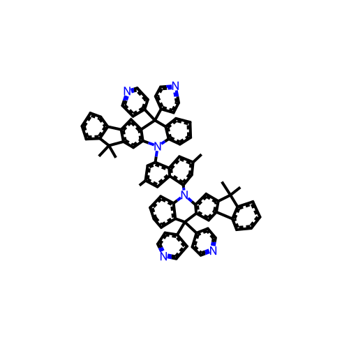 Cc1cc(N2c3ccccc3C(c3ccncc3)(c3ccncc3)c3cc4c(cc32)C(C)(C)c2ccccc2-4)c2cc(C)cc(N3c4ccccc4C(c4ccncc4)(c4ccncc4)c4cc5c(cc43)C(C)(C)c3ccccc3-5)c2c1